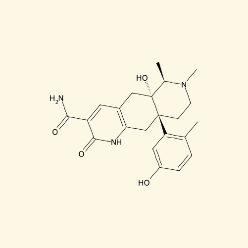 Cc1ccc(O)cc1[C@]12CCN(C)[C@H](C)[C@]1(O)Cc1cc(C(N)=O)c(=O)[nH]c1C2